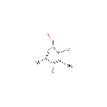 Cc1cc([C]=O)c(C)c(C)c1Cl